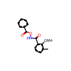 COc1c(C)cccc1C(=O)NOC(=O)c1ccccc1